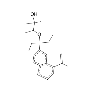 C=C(C)c1cccc2ccc(C(CC)(CC)OC(C)C(C)(C)O)cc12